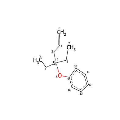 C=CC[Si](CC)(CC)Oc1ccccc1